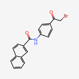 O=C(CBr)c1ccc(NC(=O)c2ccc3ccccc3c2)cc1